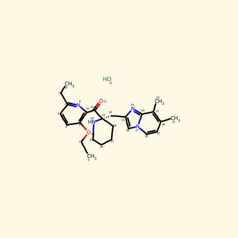 CCOc1ccc(CC)nc1C(=O)[C@@]1(Cc2cn3ccc(C)c(C)c3n2)CCCCN1.Cl